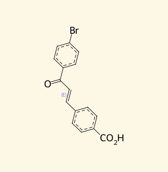 O=C(O)c1ccc(/C=C/C(=O)c2ccc(Br)cc2)cc1